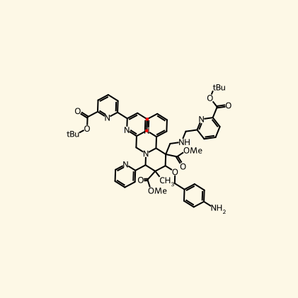 COC(=O)C1(C)C(c2ccccn2)N(Cc2cccc(-c3cccc(C(=O)OC(C)(C)C)n3)n2)C(c2ccccn2)C(CNCc2cccc(C(=O)OC(C)(C)C)n2)(C(=O)OC)C1OCc1ccc(N)cc1